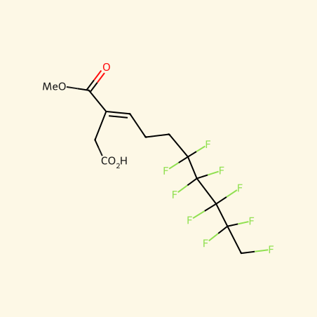 COC(=O)C(=CCCC(F)(F)C(F)(F)C(F)(F)C(F)(F)CF)CC(=O)O